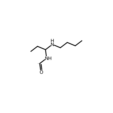 CCCCNC(CC)N[C]=O